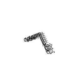 [Co+2].[Co+2].[Cu+2].[Cu+2].[Fe+3].[Fe+3].[Mn+2].[Mn+2].[Ni+2].[Ni+2].[O-2].[O-2].[O-2].[O-2].[O-2].[O-2].[O-2].[O-2].[O-2].[O-2].[O-2]